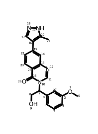 COc1cccc(C(CO)n2cnc3cc(-c4cn[nH]c4C)ccc3c2=O)c1